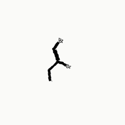 [CH2]CC(Br)=CBr